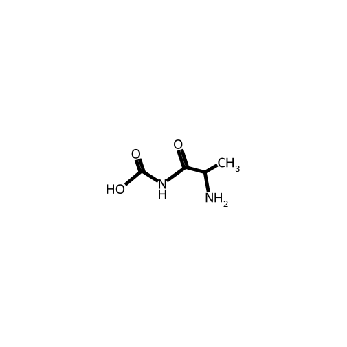 CC(N)C(=O)NC(=O)O